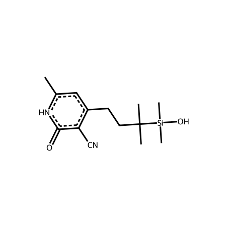 Cc1cc(CCC(C)(C)[Si](C)(C)O)c(C#N)c(=O)[nH]1